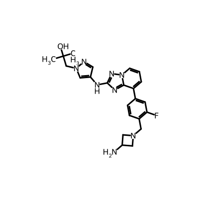 CC(C)(O)Cn1cc(Nc2nc3c(-c4ccc(CN5CC(N)C5)c(F)c4)cccn3n2)cn1